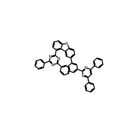 c1ccc(-c2cc(-c3ccccc3)nc(-c3cccc(-c4ccc5sc6cccc(-c7nc(-c8ccccc8)nc(-c8ccccc8)n7)c6c5c4)c3)n2)cc1